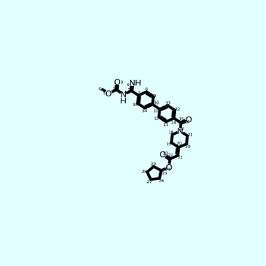 COC(=O)NC(=N)c1ccc(-c2ccc(C(=O)N3CCC(=CC(=O)OC4CCCC4)CC3)cc2)cc1